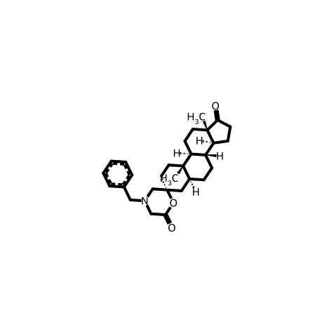 C[C@]12CC[C@@]3(C[C@@H]1CC[C@@H]1[C@@H]2CC[C@]2(C)C(=O)CC[C@@H]12)CN(Cc1ccccc1)CC(=O)O3